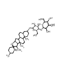 CC1CCC2(NC1)OC1CC3C4CCC5CC(OC6OC(CO)C(OC7OC(CO)C(O)C(O)C7O)C(O)C6O)CCC5(C)C4CCC3(C)C1C2C